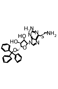 NCSc1nc(N)nc2c1ncn2[C@@H]1O[C@H](COC(c2ccccc2)(c2ccccc2)c2ccccc2)[C@@H](O)[C@H]1O